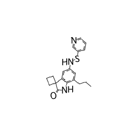 CCCc1cc(NSc2cccnc2)cc2c1NC(=O)C21CCC1